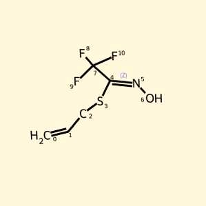 C=CCS/C(=N\O)C(F)(F)F